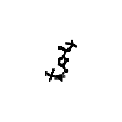 CC(C)(C)OC(=O)n1ccc(O[C@@H]2C[C@H]2C(F)(F)F)n1